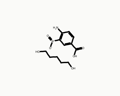 Nc1ccc(C(=O)O)cc1[N+](=O)[O-].OCCCCCO